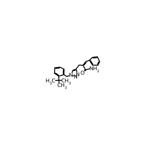 CC(C)(C)c1ccccc1Cn1cc(CC(=Cc2ccccc2)C(N)=O)nn1